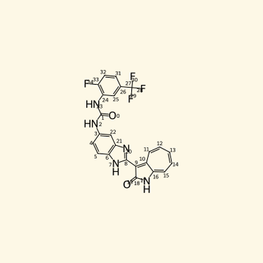 O=C(Nc1ccc2[nH]c(-c3c4cccccc-4[nH]c3=O)nc2c1)Nc1cc(C(F)(F)F)ccc1F